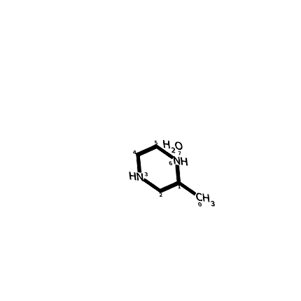 CC1CNCCN1.O